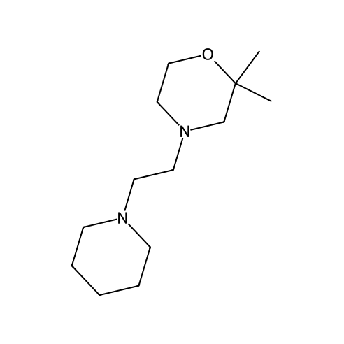 CC1(C)CN(CCN2CCCCC2)CCO1